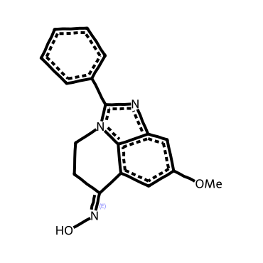 COc1cc2c3c(c1)nc(-c1ccccc1)n3CC/C2=N\O